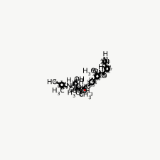 C#Cc1ccc(CNC(=O)[C@@H]2C[C@@H](O)CN2C(=O)[C@@H](NC(=O)COC2CCN(c3ccc(NC(=O)c4cccc(-c5cc[nH]n5)n4)c(OC)c3)CC2)C(C)(C)C)c(C)c1